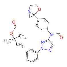 CC(C)(C)OC=O.O=CN(c1ccc(C23CN2CCO3)cc1)c1cnn(-c2ccccc2)n1